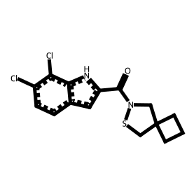 O=C(c1cc2ccc(Cl)c(Cl)c2[nH]1)N1CC2(CCC2)CS1